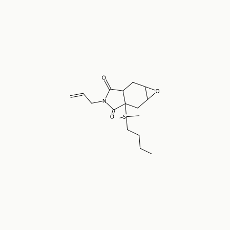 C=CCN1C(=O)C2CC3OC3CC2([Si](C)(C)CCCC)C1=O